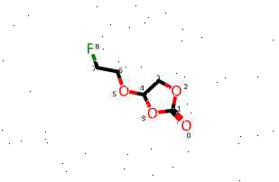 O=C1OCC(OCCF)O1